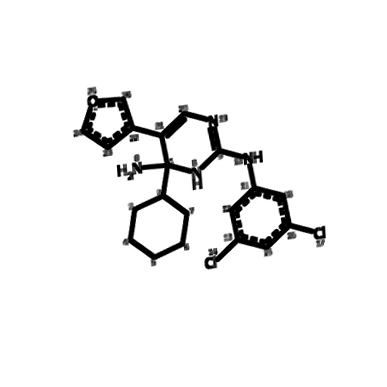 NC1(C2CCCCC2)NC(Nc2cc(Cl)cc(Cl)c2)=NC=C1c1ccoc1